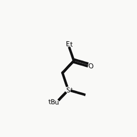 CCC(=O)C[S+](C)C(C)(C)C